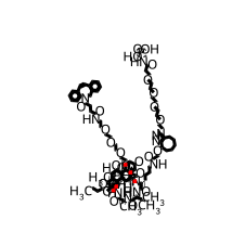 CCCC1O[C@@H]2C[C@H]3[C@@H]4C[C@H](F)C5=CC(=O)C=C[C@]5(C)[C@@]4(F)[C@@H](O)C[C@]3(C)[C@]2(C(=O)CNC(=O)[C@H](C)NC(=O)[C@@H](NC(=O)[C@@H](CCCCNC(=O)COC2CCCCCc3c2nnn3CCOCCOCCOCCOCCC(=O)NCP(=O)(O)O)NC(=O)CCOCCOCCOCCOCCNC(=O)CCC(=O)N2Cc3ccccc3C#Cc3ccccc32)C(C)C)O1